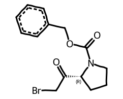 O=C(CBr)[C@H]1CCCN1C(=O)OCc1ccccc1